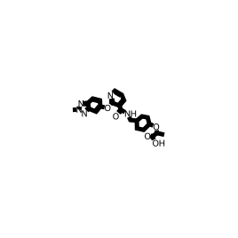 CC(OC1CCC(CNC(=O)c2cccnc2Oc2ccc3nn(C)nc3c2)CC1)C(=O)O